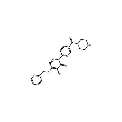 O=C(c1ccc(-n2cnc(OCc3ccccc3)c(Br)c2=O)cc1)N1CCNCC1